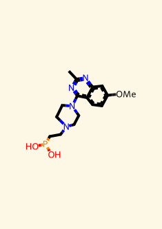 COc1ccc2c(N3CCN(CCP(O)O)CC3)nc(C)nc2c1